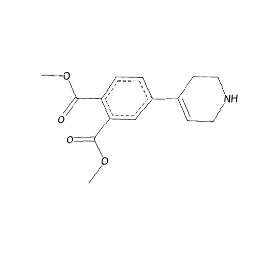 COC(=O)c1ccc(C2=CCNCC2)cc1C(=O)OC